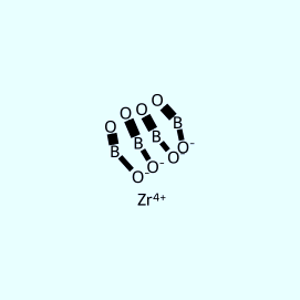 O=B[O-].O=B[O-].O=B[O-].O=B[O-].[Zr+4]